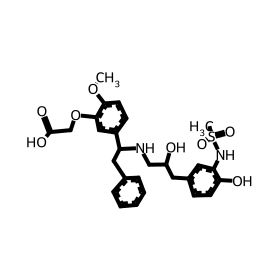 COc1ccc(C(Cc2ccccc2)NCC(O)Cc2ccc(O)c(NS(C)(=O)=O)c2)cc1OCC(=O)O